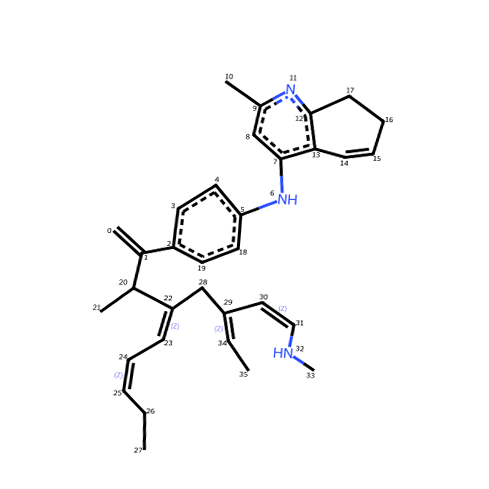 C=C(c1ccc(Nc2cc(C)nc3c2C=CCC3)cc1)C(C)/C(=C\C=C/CC)CC(/C=C\NC)=C/C